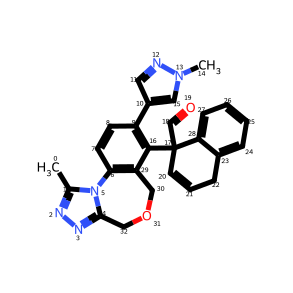 Cc1nnc2n1-c1ccc(-c3cnn(C)c3)c(C3(C=O)C=CCc4ccccc43)c1COC2